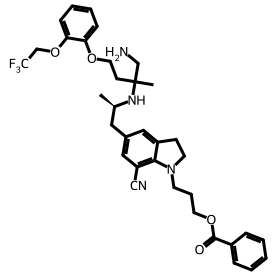 C[C@H](Cc1cc(C#N)c2c(c1)CCN2CCCOC(=O)c1ccccc1)NC(C)(CN)CCOc1ccccc1OCC(F)(F)F